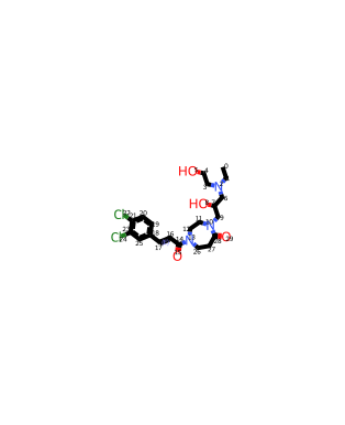 CCN(CCO)CC(O)CN1CCN(C(=O)/C=C/c2ccc(Cl)c(Cl)c2)CCC1=O